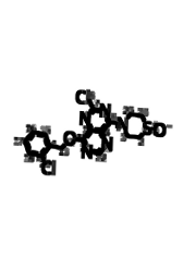 [O-][S+]1CCN(c2nc(Cl)nc3c(OCc4ccccc4Cl)ncnc23)CC1